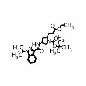 CCOC(=O)CC[C@@H]1C[C@H](NC(=O)c2nn(C(C)C)c3ccccc23)CN1C(=O)OC(C)(C)C